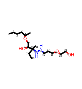 CCCCC(C)OCC(O)C(C)(CC)NNCCCOCCO